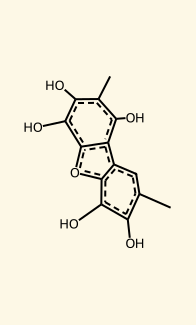 Cc1cc2c(oc3c(O)c(O)c(C)c(O)c32)c(O)c1O